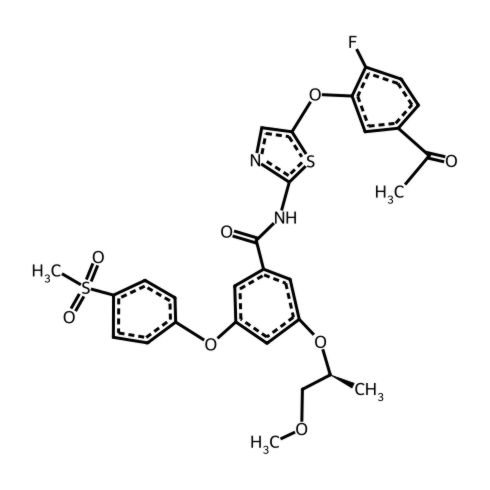 COC[C@H](C)Oc1cc(Oc2ccc(S(C)(=O)=O)cc2)cc(C(=O)Nc2ncc(Oc3cc(C(C)=O)ccc3F)s2)c1